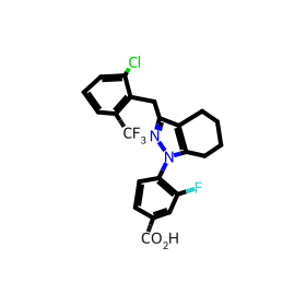 O=C(O)c1ccc(-n2nc(Cc3c(Cl)cccc3C(F)(F)F)c3c2CCCC3)c(F)c1